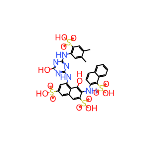 Cc1cc(Nc2nc(O)nc(Nc3cc(S(=O)(=O)O)cc4cc(S(=O)(=O)O)c(Nc5ccc6ccccc6c5S(=O)(=O)O)c(O)c34)n2)c(S(=O)(=O)O)cc1C